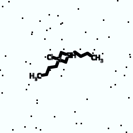 CCCC[SiH]1C[Si](Cl)(CCCC)C1